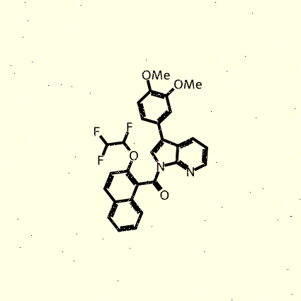 COc1ccc(-c2cn(C(=O)c3c(OC(F)C(F)F)ccc4ccccc34)c3ncccc23)cc1OC